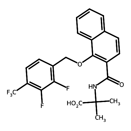 CC(C)(NC(=O)c1ccc2ccccc2c1OCc1ccc(C(F)(F)F)c(F)c1F)C(=O)O